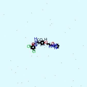 O=C(CCCOc1ccc(C[C@H](Nc2nc3cc(Cl)cc(Cl)c3o2)C(=O)O)cc1)NC1=NCCCN1